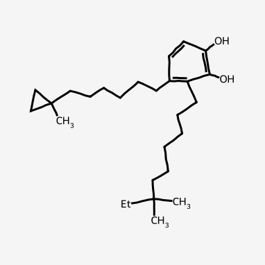 CCC(C)(C)CCCCCCc1c(CCCCCCC2(C)CC2)ccc(O)c1O